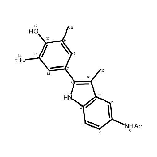 CC(=O)Nc1ccc2[nH]c(-c3cc(C)c(O)c(C(C)(C)C)c3)c(C)c2c1